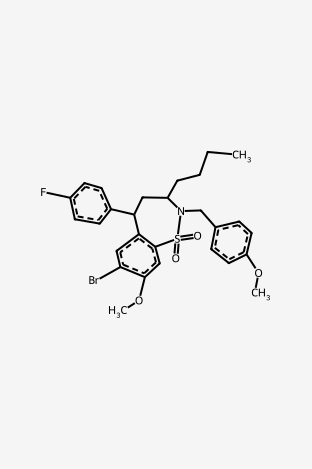 CCCCC1CC(c2ccc(F)cc2)c2cc(Br)c(OC)cc2S(=O)(=O)N1Cc1ccc(OC)cc1